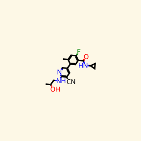 Cc1cc(F)c(C(=O)NC2CC2)cc1-c1cnc(NCC(C)O)c(C#N)c1